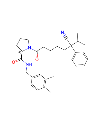 Cc1ccc(CNC(=O)[C@H]2CCCN2C(=O)CCCCC(C#N)(c2ccccc2)C(C)C)cc1C